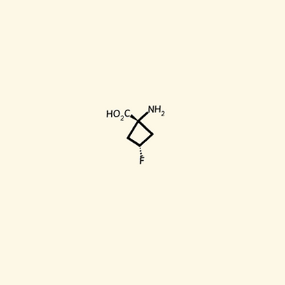 N[C@]1(C(=O)O)C[C@H](F)C1